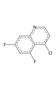 Fc1cc(F)c2c(Cl)ccnc2c1